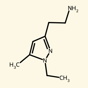 CCn1nc(CCN)cc1C